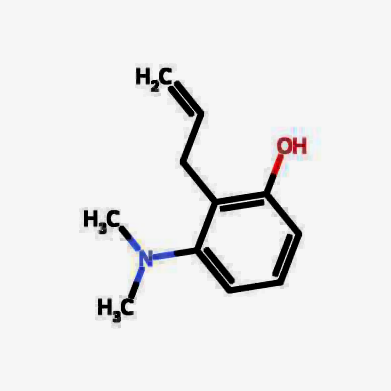 C=CCc1c(O)cccc1N(C)C